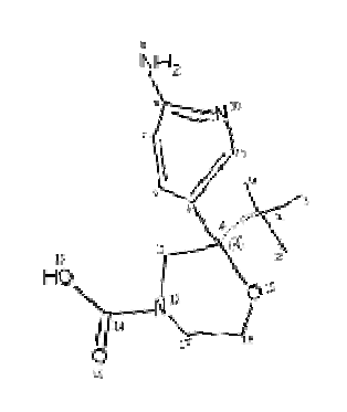 CC(C)(C)[C@@]1(c2ccc(N)nc2)CN(C(=O)O)CCO1